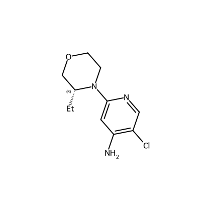 CC[C@@H]1COCCN1c1cc(N)c(Cl)cn1